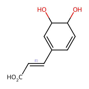 O=C(O)/C=C/C1=CC(O)C(O)C=C1